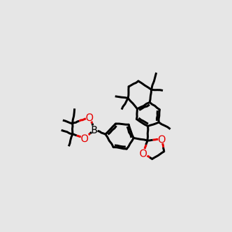 Cc1cc2c(cc1C1(c3ccc(B4OC(C)(C)C(C)(C)O4)cc3)OCCO1)C(C)(C)CCC2(C)C